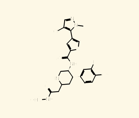 Cn1ncc(Cl)c1-c1csc(C(=O)N[C@@H]2CNC(CC(=O)NC=O)C[C@H]2c2ccc(F)c(F)c2)c1